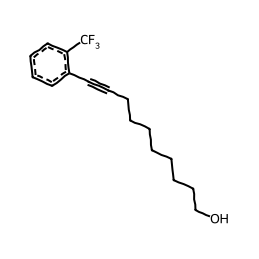 OCCCCCCCCC#Cc1ccccc1C(F)(F)F